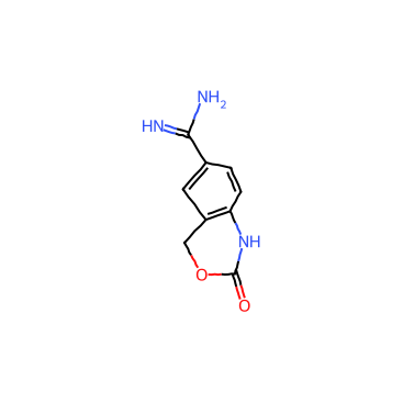 N=C(N)c1ccc2c(c1)COC(=O)N2